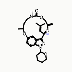 C=C1COC(=O)NCCC(C)Oc2ccc3c(c2)c(nn3C2CCCCO2)/C(C=C(C)C)=N/1